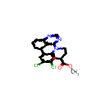 COC(=O)C1CCN(c2ncnc3cccc(-c4ccc(Cl)c(Cl)c4)c23)CC1